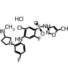 CNC1CCN(c2cc(F)ccc2Nc2cc(F)c(S(=O)(=O)Nc3cc(C)on3)cc2Cl)C1.Cl